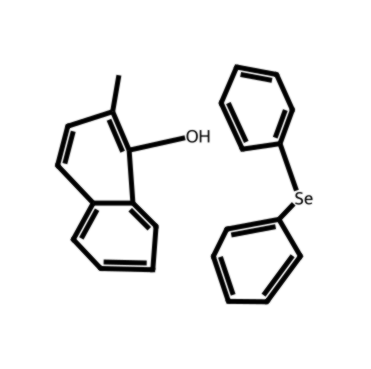 Cc1ccc2ccccc2c1O.c1ccc([Se]c2ccccc2)cc1